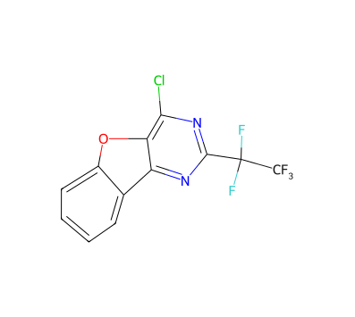 FC(F)(F)C(F)(F)c1nc(Cl)c2oc3ccccc3c2n1